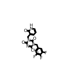 CC1=NC(=O)N(Cc2ccc[nH]c2=O)C(=O)B1Cc1cc(F)c(F)c(F)c1